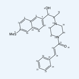 CSc1ccc2cc(C(O)C(C)N3CCN(C(=O)C=Cc4ccccc4)CC3)ccc2c1